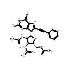 CC(=O)OC[C@H]1O[C@@H](n2c(C#Cc3ccccc3)nc3c(=O)[nH]c(N)nc32)[C@H](OC(C)=O)[C@@H]1OC(C)=O